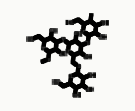 COC1OC(CO)C(O)C(OC2OC(COC3OC(CO)C(O)C(O)C3O)C(O)C(OC3OC(CO)C(C)C(O)C3O)C2O)C1O